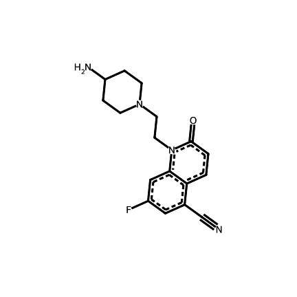 N#Cc1cc(F)cc2c1ccc(=O)n2CCN1CCC(N)CC1